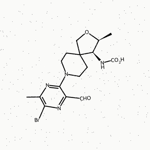 Cc1nc(N2CCC3(CC2)CO[C@@H](C)[C@H]3NC(=O)O)c(C=O)nc1Br